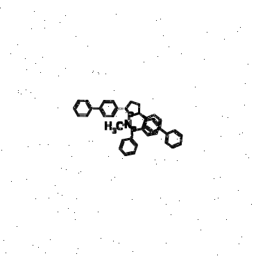 CN(P(c1ccccc1)c1ccccc1)P1[C@H](c2ccc(-c3ccccc3)cc2)CC[C@H]1C1C=CC(c2ccccc2)=CC1